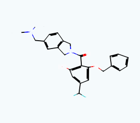 CN(C)Cc1ccc2c(c1)CN(C(=O)c1c(O)cc(C(F)F)cc1OCc1ccccc1)C2